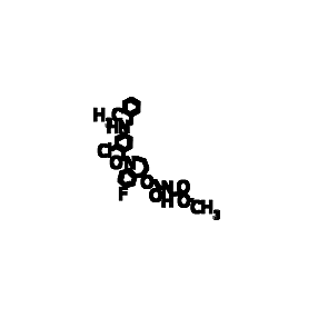 CCOC(=O)CNC(=O)COC1CCCN(C(=O)c2ccc(NCc3ccccc3C)cc2Cl)c2ccc(F)cc21